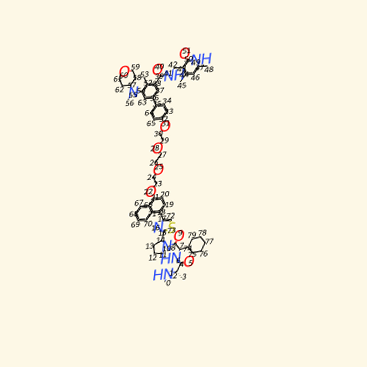 CN[C@@H](C)C(=O)N[C@H](C(=O)N1CCC[C@H]1c1nc(-c2ccc(OCCOCCOCCOc3ccc(-c4cc(C(=O)NCc5c(C)cc(C)[nH]c5=O)c(C)c(N(C)C5CCOCC5)c4)cc3)c3ccccc23)cs1)C1CCCCC1